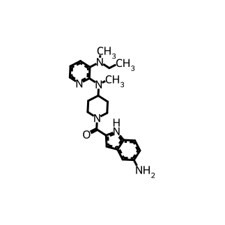 CCN(C)c1cccnc1N(C)C1CCN(C(=O)c2cc3cc(N)ccc3[nH]2)CC1